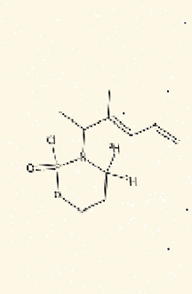 [2H]C1([2H])CCOP(=O)(Cl)N1C(C)C(C)=CC=C